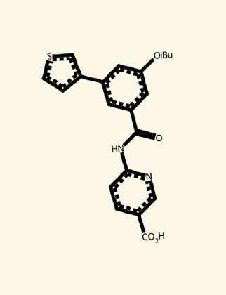 CC(C)COc1cc(C(=O)Nc2ccc(C(=O)O)cn2)cc(-c2ccsc2)c1